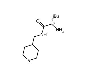 CCC(C)[C@H](N)C(=O)NCC1CCSCC1